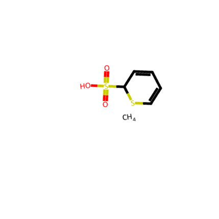 C.O=S(=O)(O)C1C=CC=CS1